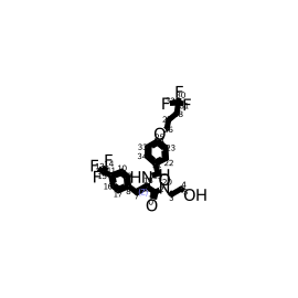 O=C(NCCO)/C(=C/c1ccc(C(F)(F)F)cc1)NC(=O)c1ccc(OCCCC(F)(F)F)cc1